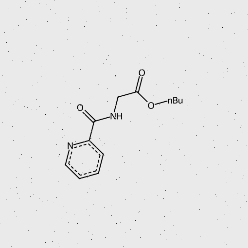 CCCCOC(=O)CNC(=O)c1ccccn1